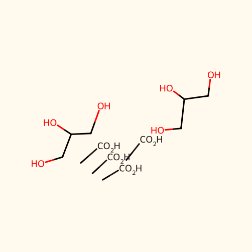 CC(=O)O.CC(=O)O.CC(=O)O.CC(=O)O.OCC(O)CO.OCC(O)CO